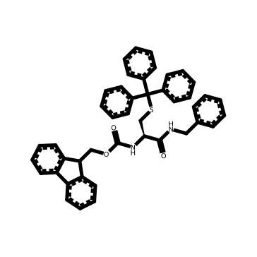 O=C(N[C@@H](CSC(c1ccccc1)(c1ccccc1)c1ccccc1)C(=O)NCc1ccccc1)OCC1c2ccccc2-c2ccccc21